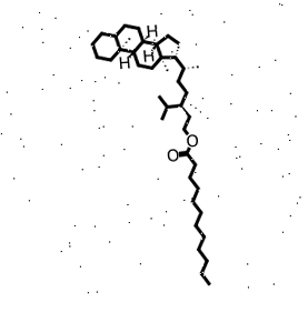 CCCCCCCCCCCC(=O)OCC[C@H](CC[C@@H](C)[C@H]1CC[C@H]2[C@@H]3CCC4CCCC[C@]4(C)[C@H]3CC[C@]12C)C(C)C